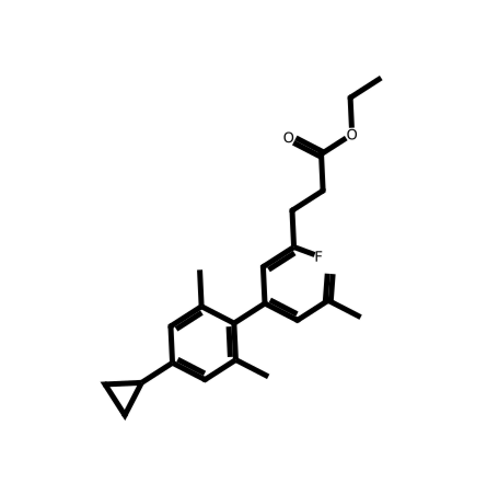 C=C(C)/C=C(\C=C(/F)CCC(=O)OCC)c1c(C)cc(C2CC2)cc1C